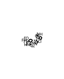 CNC(=O)c1ccccc1Nc1nc(Nc2cccc3c2C(=O)NC(C)CN3C(=O)C(F)(F)F)ncc1Cl